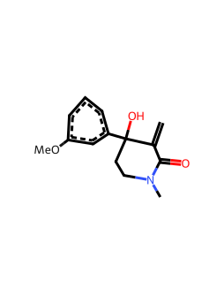 C=C1C(=O)N(C)CCC1(O)c1cccc(OC)c1